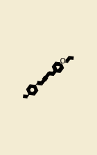 CCCOc1ccc(/C=C/C#C/C=C/[C@H]2CC[C@H](CC)CC2)cc1